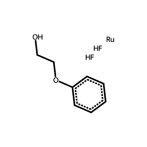 F.F.OCCOc1ccccc1.[Ru]